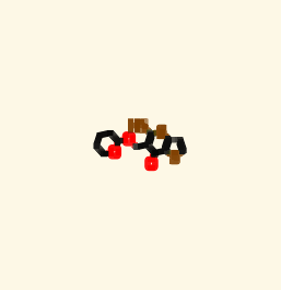 O=c1c(COC2CCCCO2)c(S)sc2ccsc12